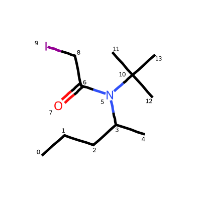 CCCC(C)N(C(=O)CI)C(C)(C)C